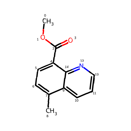 COC(=O)c1ccc(C)c2cccnc12